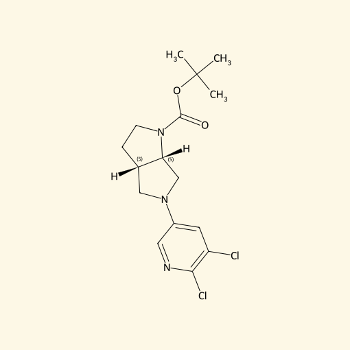 CC(C)(C)OC(=O)N1CC[C@H]2CN(c3cnc(Cl)c(Cl)c3)C[C@H]21